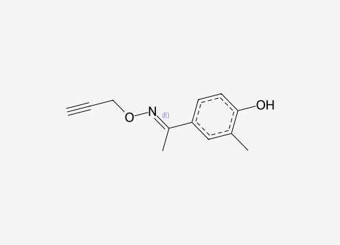 C#CCO/N=C(\C)c1ccc(O)c(C)c1